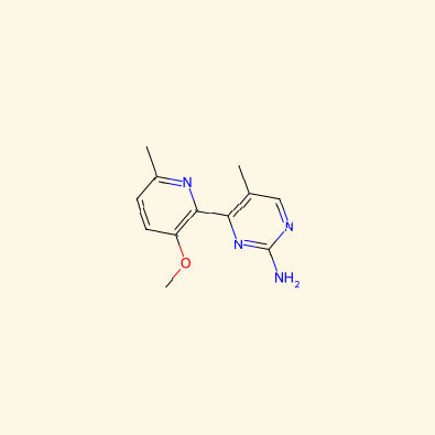 COc1ccc(C)nc1-c1nc(N)ncc1C